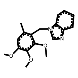 COc1cc(C)c(Cn2cnc3ccccc32)c(OC)c1OC